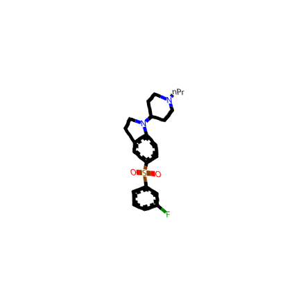 CCCN1CCC(N2CCc3cc(S(=O)(=O)c4cccc(F)c4)ccc32)CC1